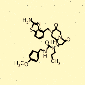 CCCN(C(=O)NCc1ccc(OC)cc1)N1CC(=O)N2CC(=O)N(Cc3cccc4sc(N)nc34)C[C@@H]21